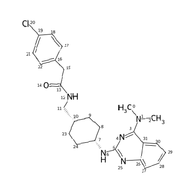 CN(C)c1nc(N[C@H]2CC[C@@H](CNC(=O)Cc3ccc(Cl)cc3)CC2)nc2ccccc12